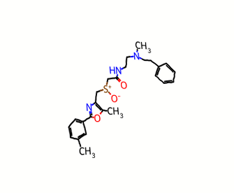 Cc1cccc(-c2nc(C[S+]([O-])CC(=O)NCCN(C)CCc3ccccc3)c(C)o2)c1